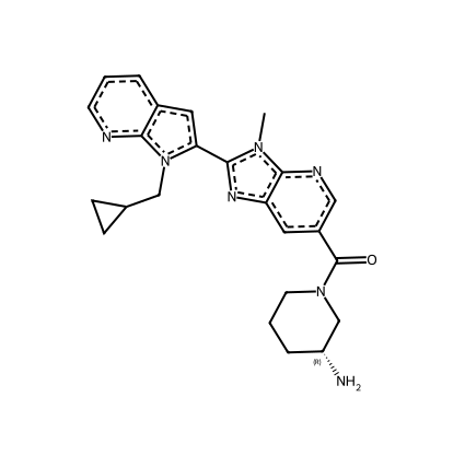 Cn1c(-c2cc3cccnc3n2CC2CC2)nc2cc(C(=O)N3CCC[C@@H](N)C3)cnc21